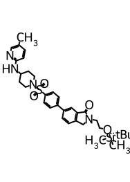 Cc1ccc(NC2CCN(S(=O)(=O)c3ccc(-c4ccc5c(c4)C(=O)N(CCO[Si](C)(C)C(C)(C)C)C5)cc3)CC2)nc1